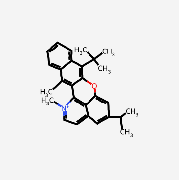 Cc1c2c(c(C(C)(C)C)c3ccccc13)Oc1cc(C(C)C)cc3cc[n+](C)c-2c13